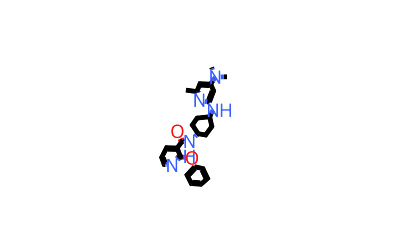 Cc1cc(N(C)C)cc(NC2CCC(NC(=O)c3cccnc3Oc3ccccc3)CC2)n1